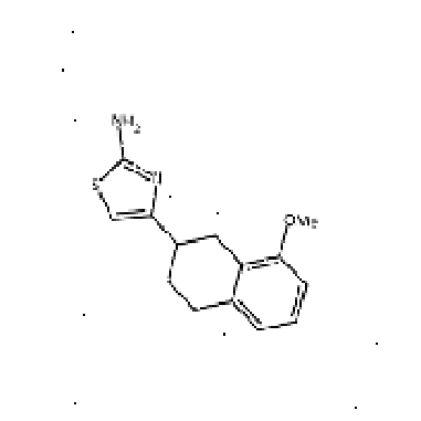 COc1cccc2c1CC(c1csc(N)n1)CC2